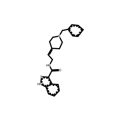 O=C(NCC=C1CCN(Cc2ccccc2)CC1)c1n[nH]c2ccccc12